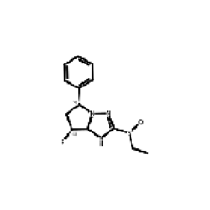 CC[S+]([O-])C1=NN2C(N1)[C@@H](F)C[C@H]2c1ccccc1